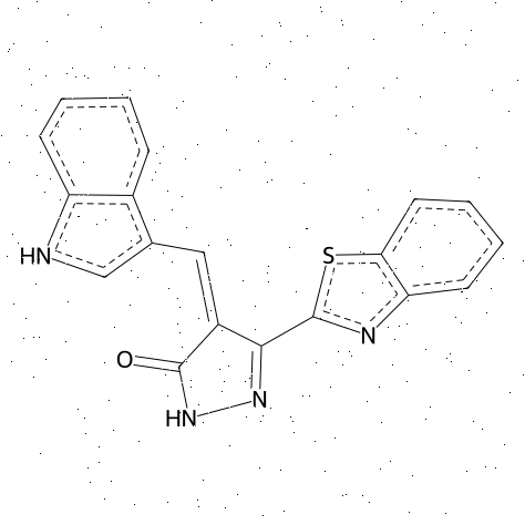 O=C1NN=C(c2nc3ccccc3s2)C1=Cc1c[nH]c2ccccc12